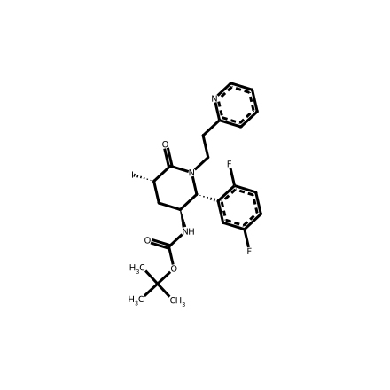 CC(C)(C)OC(=O)N[C@H]1C[C@H](I)C(=O)N(CCc2ccccn2)[C@@H]1c1cc(F)ccc1F